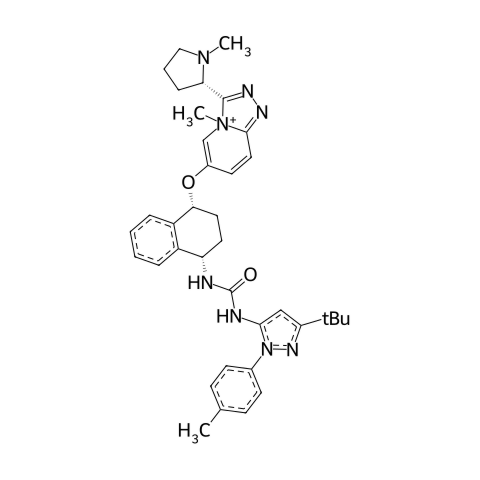 Cc1ccc(-n2nc(C(C)(C)C)cc2NC(=O)N[C@H]2CC[C@@H](OC3=C[N+]4(C)C(=NN=C4[C@@H]4CCCN4C)C=C3)c3ccccc32)cc1